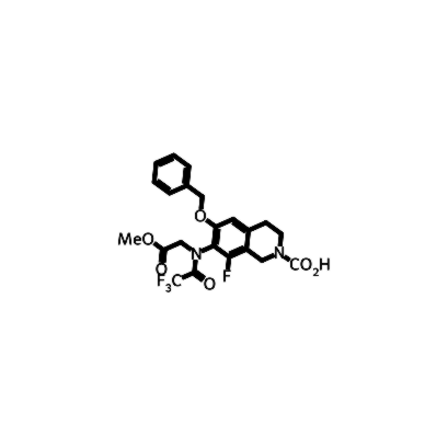 COC(=O)CN(C(=O)C(F)(F)F)c1c(OCc2ccccc2)cc2c(c1F)CN(C(=O)O)CC2